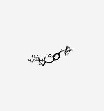 CC(C)[Si](Sc1ccc(CC2COC(C)(C)N2C(=O)O)cc1)(C(C)C)C(C)C